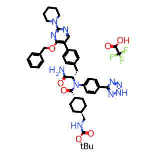 CC(C)(C)OC(=O)NC[C@H]1CC[C@H](C(=O)N(c2ccc(-c3nn[nH]n3)cc2)[C@@H](Cc2ccc(-c3cnc(N4CCCCC4)nc3OCc3ccccc3)cc2)C(N)=O)CC1.O=C(O)C(F)(F)F